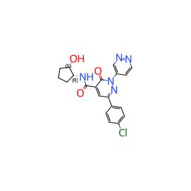 O=C(N[C@@H]1CCC[C@@H]1O)c1cc(-c2ccc(Cl)cc2)nn(-c2ccnnc2)c1=O